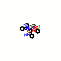 C[C@](Cc1c[nH]c2ccccc12)(C(=O)NCC1(c2ccccn2)CCCCC1)N(C(F)(F)F)S(=O)(=O)c1ccccc1Cl